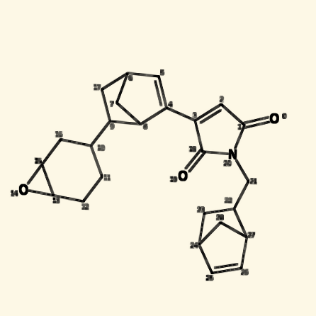 O=C1C=C(C2=CC3CC2C(C2CCC4OC4C2)C3)C(=O)N1CC1CC2C=CC1C2